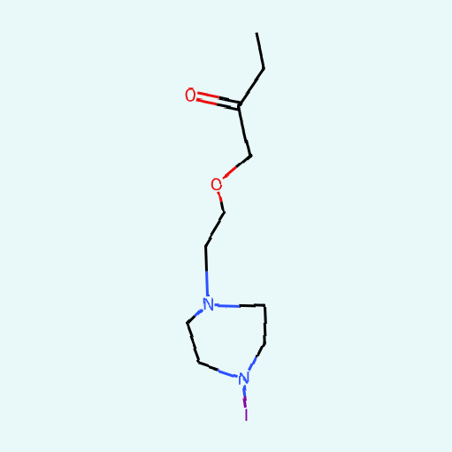 CCC(=O)COCCN1CCN(I)CC1